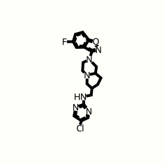 Fc1ccc2onc(N3CCN4CC(CNc5ncc(Cl)cn5)CCC4C3)c2c1